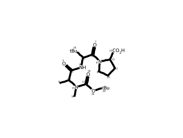 CC(C(=O)NC(C(=O)N1CCCC1C(=O)O)C(C)(C)C)N(C)C(=O)OC(C)(C)C